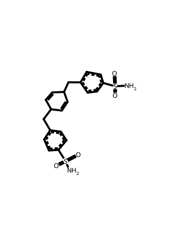 NS(=O)(=O)c1ccc(CC2C=CC(Cc3ccc(S(N)(=O)=O)cc3)C=C2)cc1